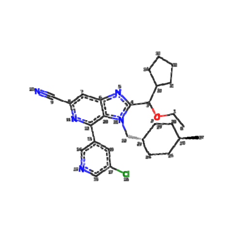 CCOC(c1nc2cc(C#N)nc(-c3cncc(Cl)c3)c2n1C[C@H]1CC[C@H](C)CC1)C1CCCC1